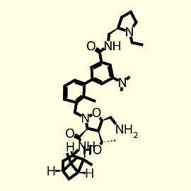 CCN1CCC[C@@H]1CNC(=O)c1cc(-c2cccc(CN3O[C@@H](CN)[C@@H]([C@H](C)O)[C@H]3C(=O)N[C@H]3C[C@H]4C[C@@H]([C@@H]3C)C4(C)C)c2C)cc(N(C)C)c1